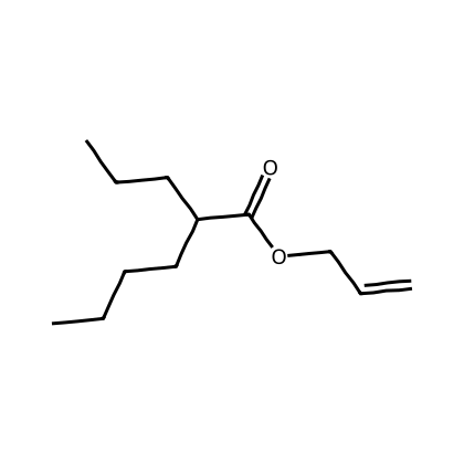 C=CCOC(=O)C(CCC)CCCC